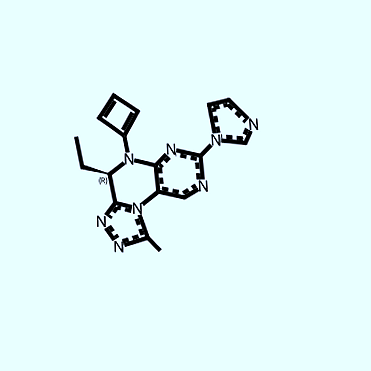 CC[C@@H]1c2nnc(C)n2-c2cnc(-n3ccnc3)nc2N1C1=CC=C1